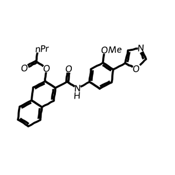 CCCC(=O)Oc1cc2ccccc2cc1C(=O)Nc1ccc(-c2cnco2)c(OC)c1